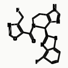 O=C(c1ocnc1CF)N1CCc2[nH]cnc2[C@H]1c1nc2c(F)cccc2s1